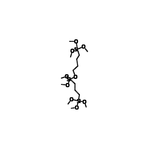 CO[Si](CCCCO[Si](CCC[Si](OC)(OC)OC)(OC)OC)(OC)OC